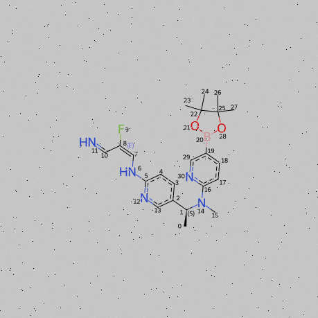 C[C@@H](c1ccc(N/C=C(/F)C=N)nc1)N(C)c1ccc(B2OC(C)(C)C(C)(C)O2)cn1